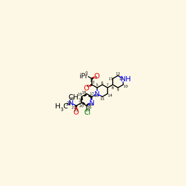 CC(C)C(=O)C(=O)C1CC(C2CCNCC2)CCN1c1ccc(C(=O)N(C)C)c(Cl)n1